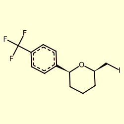 FC(F)(F)c1ccc([C@@H]2CCC[C@H](CI)O2)cc1